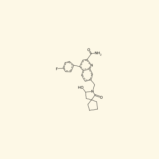 NC(=O)c1cc(-c2ccc(F)cc2)c2ccc(CN3C(=O)C4(CCCC4)CC3O)cc2n1